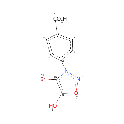 O=C(O)c1ccc(-[n+]2noc(O)c2Br)cc1